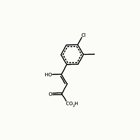 Cc1cc(/C(O)=C/C(=O)C(=O)O)ccc1Cl